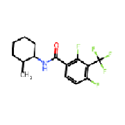 CC1CCCCC1NC(=O)c1ccc(F)c(C(F)(F)F)c1F